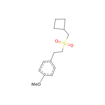 COc1ccc(CCS(=O)(=O)CC2CCC2)cc1